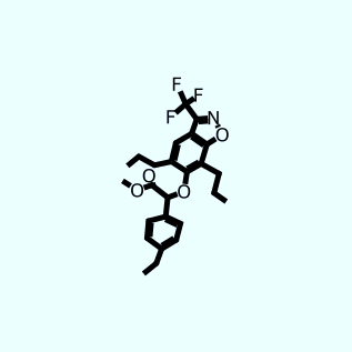 CCCc1cc2c(C(F)(F)F)noc2c(CCC)c1OC(C(=O)OC)c1ccc(CC)cc1